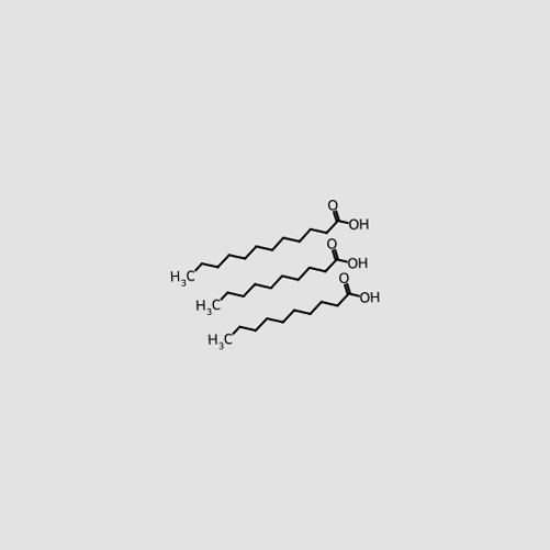 CCCCCCCCCC(=O)O.CCCCCCCCCC(=O)O.CCCCCCCCCCCC(=O)O